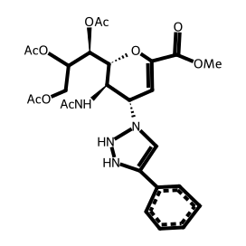 COC(=O)C1=C[C@H](N2C=C(c3ccccc3)NN2)[C@@H](NC(C)=O)[C@H]([C@H](OC(C)=O)C(COC(C)=O)OC(C)=O)O1